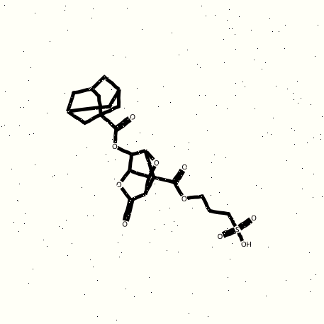 O=C1OC2C(OC(=O)C34CC5CC(CC(C5)C3)C4)C3OC2C1C3C(=O)OCCCS(=O)(=O)O